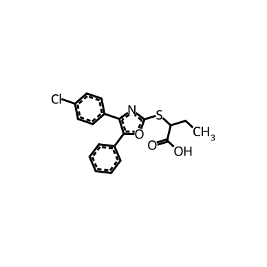 CCC(Sc1nc(-c2ccc(Cl)cc2)c(-c2ccccc2)o1)C(=O)O